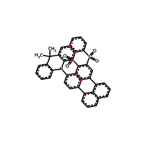 CC1(C)c2ccccc2N(c2ccc(-c3cccc4cccc(-c5ccc6c(c5)S(=O)(=O)c5ccccc5S6(=O)=O)c34)cc2)c2ccccc21